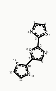 [c]1nc(-c2nccs2)sc1-c1nccs1